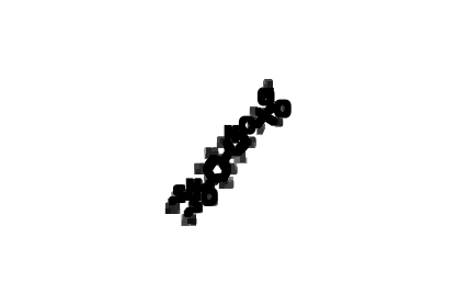 COC(=O)C(C)(C)COc1ccc(-c2ccc(C(=O)N=C(SC)SC)cc2)cn1